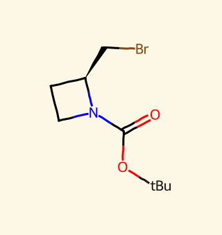 CC(C)(C)OC(=O)N1CC[C@H]1CBr